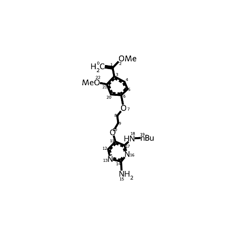 C=C(OC)c1ccc(OCCOc2cnc(N)nc2NCCCC)cc1OC